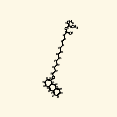 CC(C)OC(=O)CCCCCCCCCCCCCOc1cccc2cc3ccccc3cc12